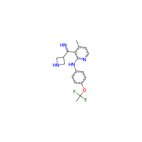 Cc1ccnc(Nc2ccc(OC(C)(F)F)cc2)c1C(=N)C1CNC1